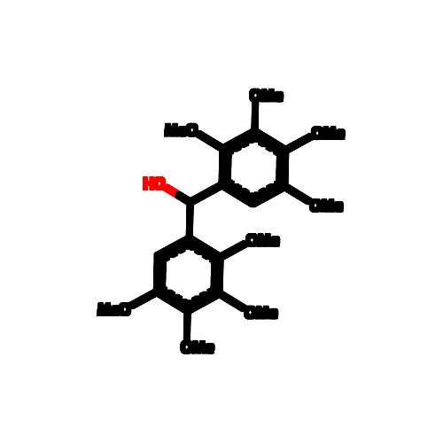 COc1cc(C(O)c2cc(OC)c(OC)c(OC)c2OC)c(OC)c(OC)c1OC